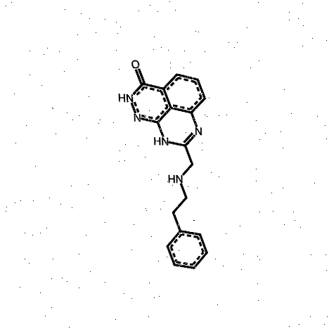 O=c1[nH]nc2c3c(cccc13)N=C(CNCCc1ccccc1)N2